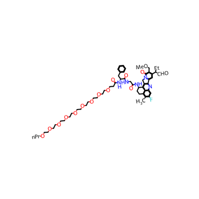 CCCOCCOCCOCCOCCOCCOCCOCCOCCOCCC(=O)NC(Cc1ccccc1)C(=O)NCC(=O)NC1CCc2c(C)c(F)cc3nc4c(c1c23)Cn1c-4cc(C(C=O)CC)c(COC)c1=O